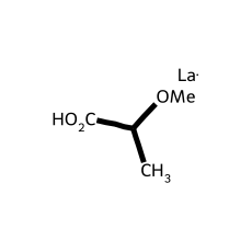 COC(C)C(=O)O.[La]